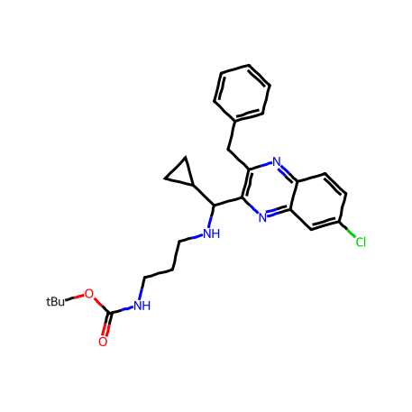 CC(C)(C)OC(=O)NCCCNC(c1nc2cc(Cl)ccc2nc1Cc1ccccc1)C1CC1